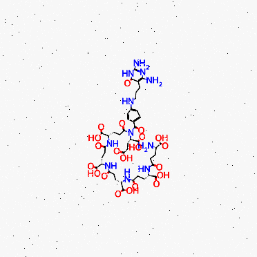 Nc1nc(N)c(CCCNc2ccc(C(=O)N(C(=O)CC[C@H](NC(=O)CC[C@H](NC(=O)CC[C@H](NC(=O)CC[C@H](NC(=O)CC[C@H](N)C(=O)O)C(=O)O)C(=O)O)C(=O)O)C(=O)O)[C@@H](CCC(=O)O)C(=O)O)cc2)c(=O)[nH]1